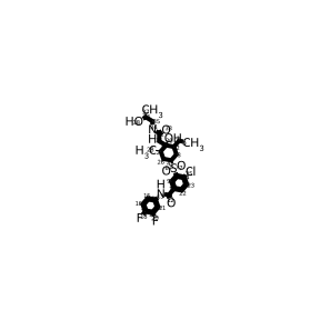 CCC1C[C@@H](S(=O)(=O)c2cc(C(=O)Nc3ccc(F)c(F)c3)ccc2Cl)C[C@H](C)[C@@]1(O)CC(=O)NC[C@@H](C)O